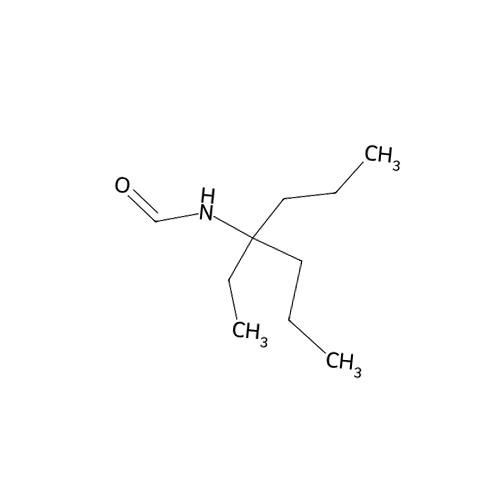 CCCC(CC)(CCC)NC=O